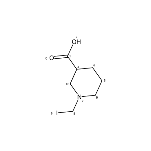 O=C(O)C1CCCN(CI)C1